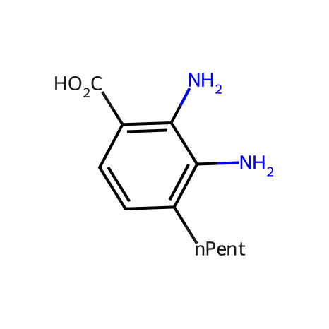 CCCCCc1ccc(C(=O)O)c(N)c1N